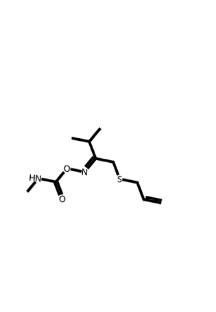 C=CCSCC(=NOC(=O)NC)C(C)C